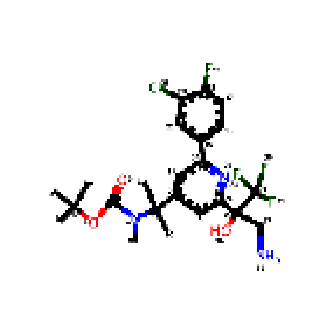 CN(C(=O)OC(C)(C)C)C(C)(C)c1cc(-c2ccc(F)c(Cl)c2)nc(C(O)(CN)C(F)(F)F)c1